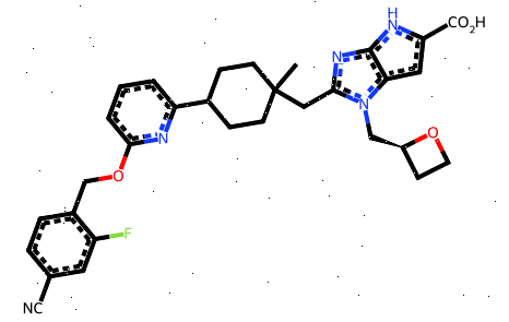 CC1(Cc2nc3[nH]c(C(=O)O)cc3n2C[C@@H]2CCO2)CCC(c2cccc(OCc3ccc(C#N)cc3F)n2)CC1